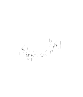 CN(C)C(=O)C(C#N)=Cc1cccc(OCCC(=O)N[C@@H](Cc2ccccc2)B(O)O)c1